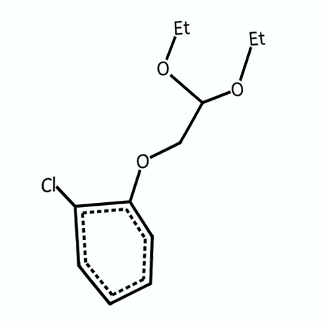 CCOC(COc1ccccc1Cl)OCC